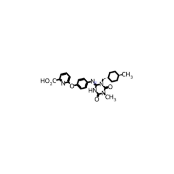 Cn1c(=O)[nH]/c(=N\c2ccc(Oc3cccc(C(=O)O)n3)cc2)n(C[C@H]2CC[C@H](C)CC2)c1=O